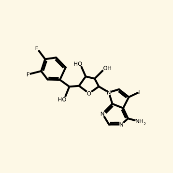 Nc1ncnc2c1c(I)cn2C1OC(C(O)c2ccc(F)c(F)c2)C(O)C1O